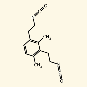 Cc1ccc(CCN=C=O)c(C)c1CCN=C=O